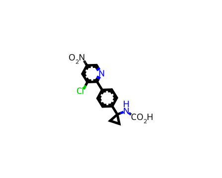 O=C(O)NC1(c2ccc(-c3ncc([N+](=O)[O-])cc3Cl)cc2)CC1